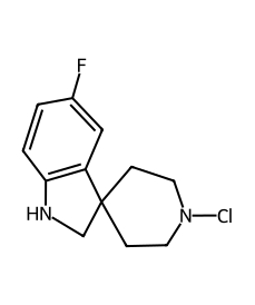 Fc1ccc2c(c1)C1(CCN(Cl)CC1)CN2